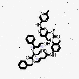 Cc1ccc(Nc2ncc3c(n2)N(C)C(=O)N(c2cc(NC(=O)C/C=C/N(Cc4ccccc4)C(=O)[C@H](CC(C)C)/N=C(\C=C\O)c4ccccc4)ccc2C)C3)cn1